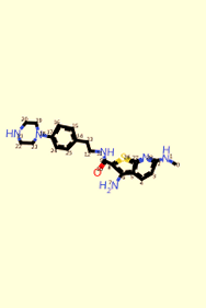 CNc1ccc2c(N)c(C(=O)NCCc3ccc(N4CCNCC4)cc3)sc2n1